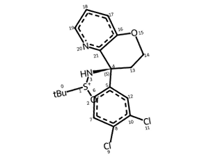 CC(C)(C)[S+]([O-])N[C@]1(c2ccc(Cl)c(Cl)c2)CCOc2cccnc21